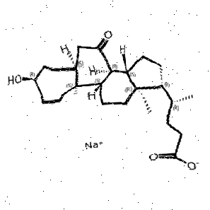 C[C@H](CCC(=O)[O-])[C@H]1CC[C@H]2[C@@H]3C(=O)C[C@@H]4C[C@H](O)CC[C@]4(C)[C@H]3CC[C@]12C.[Na+]